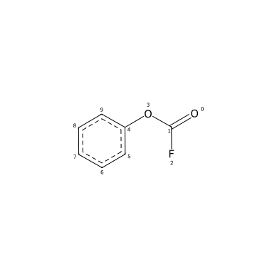 O=C(F)Oc1ccccc1